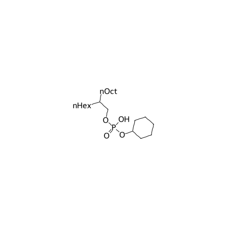 CCCCCCCCC(CCCCCC)COP(=O)(O)OC1CCCCC1